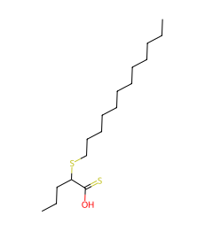 CCCCCCCCCCCCSC(CCC)C(O)=S